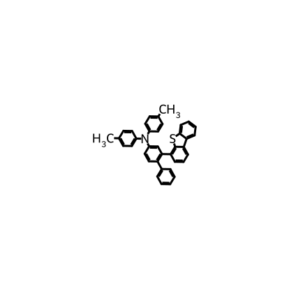 Cc1ccc(N(c2ccc(C)cc2)c2ccc(-c3ccccc3)c(-c3cccc4c3sc3ccccc34)c2)cc1